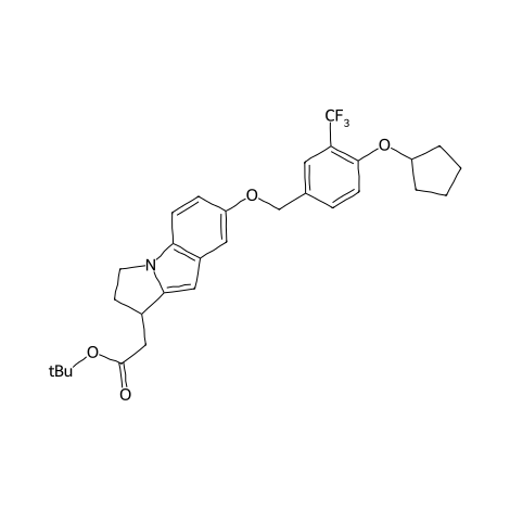 CC(C)(C)OC(=O)CC1CCn2c1cc1cc(OCc3ccc(OC4CCCC4)c(C(F)(F)F)c3)ccc12